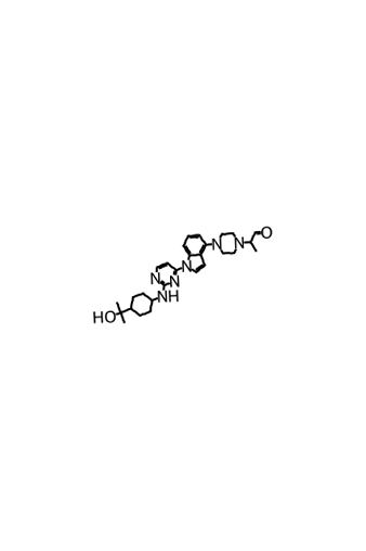 CC(C=O)N1CCN(c2cccc3c2ccn3-c2ccnc(NC3CCC(C(C)(C)O)CC3)n2)CC1